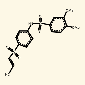 COc1ccc(S(=O)(=O)Nc2ccc(S(=O)(=O)C=CC#N)cc2)cc1OC